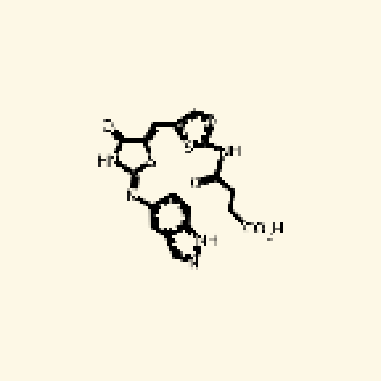 O=C(O)CCC(=O)Nc1ncc(C=C2SC(=Nc3ccc4[nH]ncc4c3)NC2=O)s1